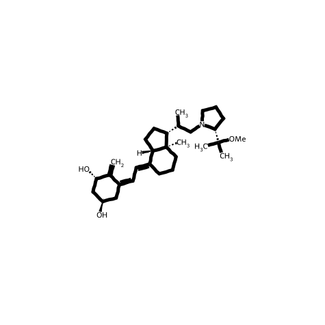 C=C1/C(=C\C=C2/CCC[C@]3(C)[C@@H](C(C)CN4CCC[C@@H]4C(C)(C)OC)CC[C@@H]23)C[C@@H](O)C[C@@H]1O